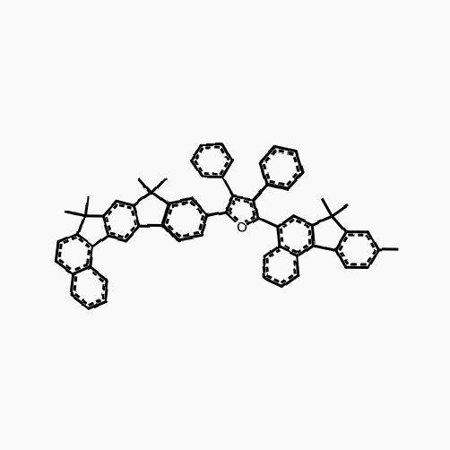 Cc1ccc2c(c1)C(C)(C)c1cc(-c3oc(-c4ccc5c(c4)C(C)(C)c4cc6c(cc4-5)-c4c(ccc5ccccc45)C6(C)C)c(-c4ccccc4)c3-c3ccccc3)c3ccccc3c1-2